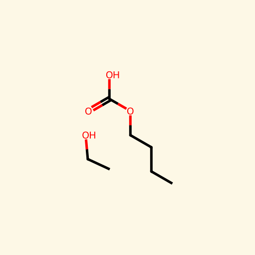 CCCCOC(=O)O.CCO